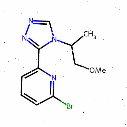 COCC(C)n1cnnc1-c1cccc(Br)n1